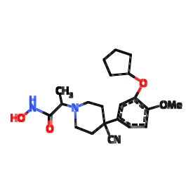 COc1ccc(C2(C#N)CCN(C(C)C(=O)NO)CC2)cc1OC1CCCC1